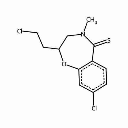 CN1CC(CCCl)Oc2cc(Cl)ccc2C1=S